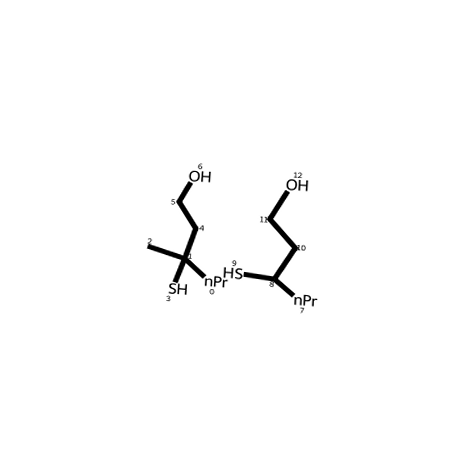 CCCC(C)(S)CCO.CCCC(S)CCO